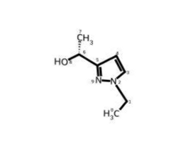 CCn1ccc([C@@H](C)O)n1